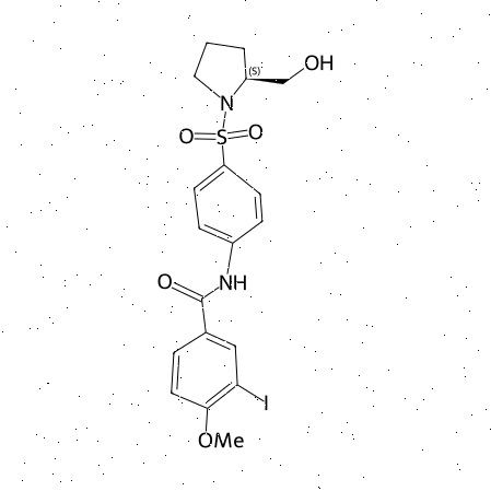 COc1ccc(C(=O)Nc2ccc(S(=O)(=O)N3CCC[C@H]3CO)cc2)cc1I